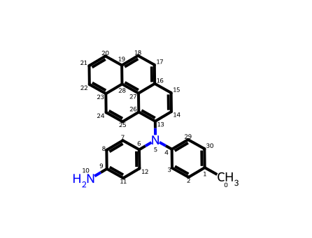 Cc1ccc(N(c2ccc(N)cc2)c2ccc3ccc4cccc5ccc2c3c45)cc1